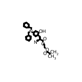 C=C(C)C(=O)OCCOC(=O)/C(C#N)=C/c1ccc(N(Cc2ccccc2)Cc2ccccc2)cc1O